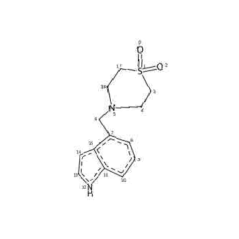 O=S1(=O)CCN(Cc2c[c]cc3[nH]ccc23)CC1